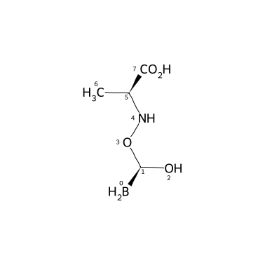 B[C@H](O)ON[C@@H](C)C(=O)O